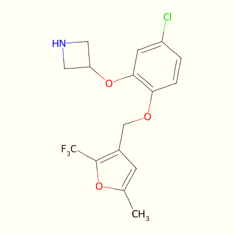 Cc1cc(COc2ccc(Cl)cc2OC2CNC2)c(C(F)(F)F)o1